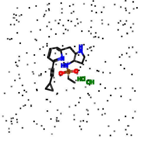 CCS(=O)(=O)NC1CCNC1Cc1cccc(C#CC2CC2)n1.Cl.Cl